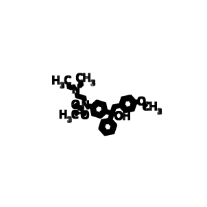 CCN(CC)CCN(c1ccc(C(O)(Cc2ccc(OC)cc2)c2ccccc2)cc1)S(C)(=O)=O